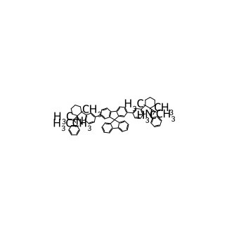 CC(C)(C)C12CCCCC1(C)c1cc(-c3ccc4c(c3)C3(c5ccccc5-c5ccccc53)c3cc(-c5ccc6c(c5)C5(C)CCCCC5(C(C)(C)C)N6c5ccccc5)ccc3-4)ccc1N2c1ccccc1